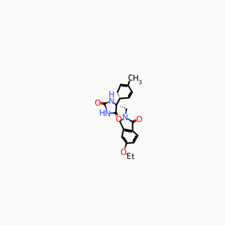 CCOc1ccc2c(c1)CN(C[C@@]1([C@H]3C=CC(C)=CC3)NC(=O)NC1=O)C2=O